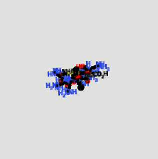 CC(=O)N[C@@H](CS)C(=O)N[C@@H](CCCNC(=N)N)C(=O)N[C@@H](CCCNC(=N)N)C(=O)N[C@@H](CCCNC(=N)N)C(=O)N[C@@H](Cc1ccc2ccccc2c1)C(=O)N[C@@H](Cc1c[nH]c2ccccc12)C(=O)N[C@@H](CCC(N)=O)C(=O)N[C@H](C(=O)N[C@H](C(=O)N[C@@H](CCCNC(=N)N)C(=O)N[C@H](C(=O)O)C(C)(C)C)[C@@H](C)O)C(C)(C)S